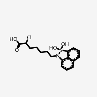 O=C(O)C(Cl)CCCCCN1c2cccc3cccc(c23)S1(O)O